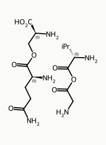 CC(C)[C@H](N)C(=O)OC(=O)CN.NC(=O)CC[C@H](N)C(=O)OC[C@H](N)C(=O)O